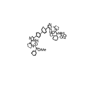 CO[C@@H](C(=O)N1CCC[C@H]1c1ncc(-c2ccc(-c3ccc(-c4cnc([C@@H]5CCCN5C(=O)[C@H](NC5OCO5)c5ccccc5Cl)[nH]4)cc3)cc2)[nH]1)c1ccccc1